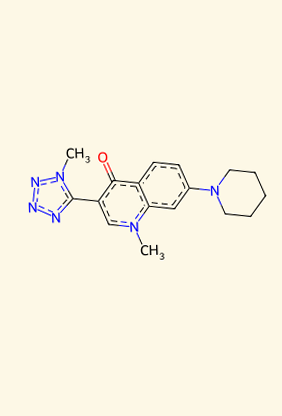 Cn1nnnc1-c1cn(C)c2cc(N3CCCCC3)ccc2c1=O